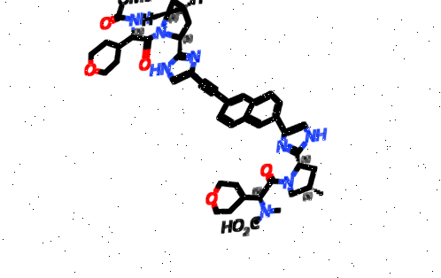 COC(=O)N[C@H](C(=O)N1[C@@H]2C[C@H]2C[C@H]1c1nc(C#Cc2ccc3cc(-c4c[nH]c([C@@H]5C[C@H](C)CN5C(=O)[C@H](C5CCOCC5)N(C)C(=O)O)n4)ccc3c2)c[nH]1)C1CCOCC1